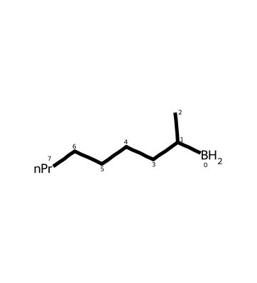 BC(C)CCCCCCC